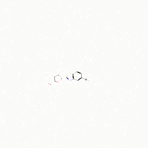 OC[C@H]1O[C@@H](c2nc3cc(C(F)(F)F)ccc3s2)[C@H](O)[C@@H]1O